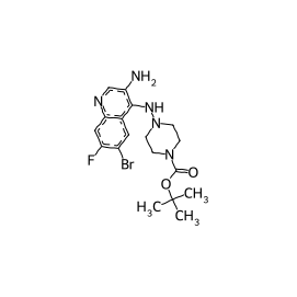 CC(C)(C)OC(=O)N1CCN(Nc2c(N)cnc3cc(F)c(Br)cc23)CC1